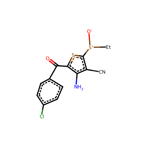 CC[S+]([O-])c1sc(C(=O)c2ccc(Cl)cc2)c(N)c1C#N